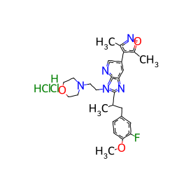 COc1ccc(CC(C)c2nc3cc(-c4c(C)noc4C)cnc3n2CCN2CCOCC2)cc1F.Cl.Cl